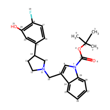 CC(C)(C)OC(=O)n1cc(CN2CCC(c3ccc(F)c(O)c3)C2)c2ccccc21